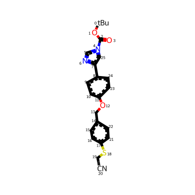 CC(C)(C)OC(=O)n1cnc(-c2ccc(OCc3ccc(SCC#N)cc3)cc2)c1